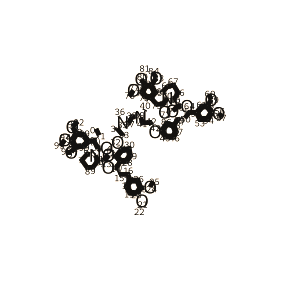 CC[C@H](C(=O)N1CCCC[C@H]1C(=O)O[C@H](CCc1ccc(OC)c(OC)c1)c1cccc(OCCN(C)CCN(C)CCOc2cccc([C@@H](CCc3ccc(OC)c(OC)c3)OC(=O)[C@@H]3CCCCN3C(=O)Cc3cc(OC)c(OC)c(OC)c3)c2)c1)c1cc(OC)c(OC)c(OC)c1